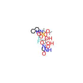 CC(C)OC(=O)[C@H](C)NP(=S)(OC[C@@]1(C(F)F)O[C@@H](n2ccc(=O)[nH]c2=O)[C@@H](O)[C@@H]1O)Oc1cccc2ccccc12